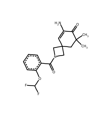 CC1(C)CC2(C=C(N)C1=O)CN(C(=O)c1ccccc1OC(F)F)C2